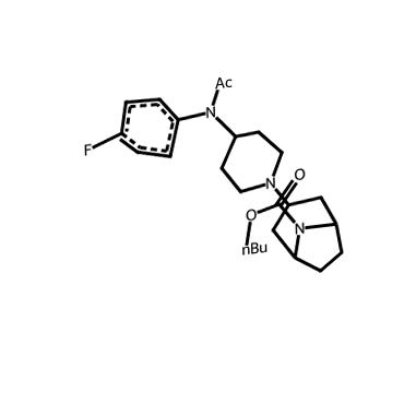 CCCCOC(=O)N1C2CCC1CC(N1CCC(N(C(C)=O)c3ccc(F)cc3)CC1)C2